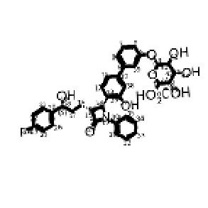 O=C(O)C1O[C@@H](Oc2cccc(-c3ccc([C@@H]4[C@@H](CC[C@H](O)c5ccc(F)cc5)C(=O)N4c4ccccc4)c(O)c3)c2)C(O)[C@@H](O)[C@@H]1O